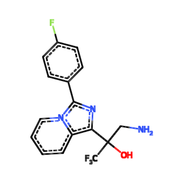 NCC(O)(c1nc(-c2ccc(F)cc2)n2ccccc12)C(F)(F)F